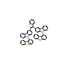 c1ccc2c(c1)oc1cccc(-n3c4ccccc4c4cc(-c5c(-c6ccc7c(c6)c6ccccc6n7-c6cccc7sc8ccccc8c67)sc6ccccc56)ccc43)c12